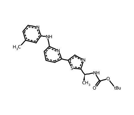 Cc1ccnc(Nc2cccc(-c3cnc([C@H](C)NC(=O)OC(C)(C)C)s3)n2)c1